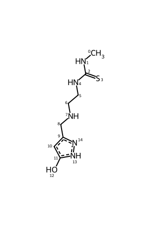 CNC(=S)NCCNCc1cc(O)[nH]n1